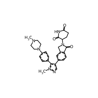 CN1CCN(c2ccc(-c3c(-c4ccc5c(c4)CN(C4CCC(=O)NC4=O)C5=O)cnn3C)cc2)CC1